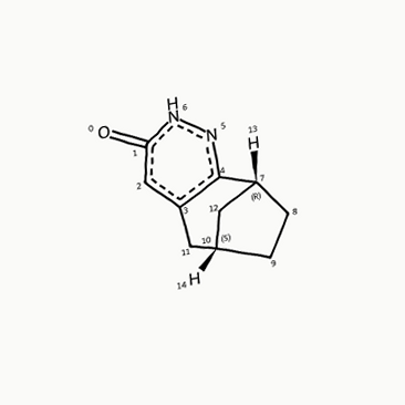 O=c1cc2c(n[nH]1)[C@@H]1CC[C@H](C2)C1